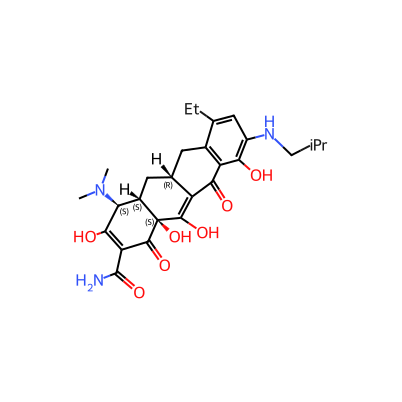 CCc1cc(NCC(C)C)c(O)c2c1C[C@H]1C[C@H]3[C@H](N(C)C)C(O)=C(C(N)=O)C(=O)[C@@]3(O)C(O)=C1C2=O